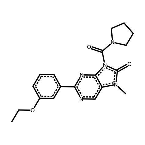 CCOc1cccc(-c2ncc3c(n2)n(C(=O)N2CCCC2)c(=O)n3C)c1